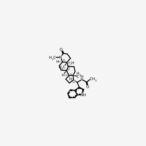 CC(=O)NC(c1c[nH]c2ccccc12)[C@H]1CC[C@H]2[C@@H]3CC[C@H]4N(C)C(=O)CC[C@]4(C)[C@H]3CC[C@]12C